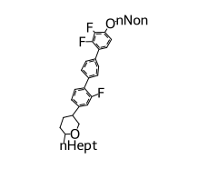 CCCCCCCCCOc1ccc(-c2ccc(-c3ccc(C4CCC(CCCCCCC)OC4)cc3F)cc2)c(F)c1F